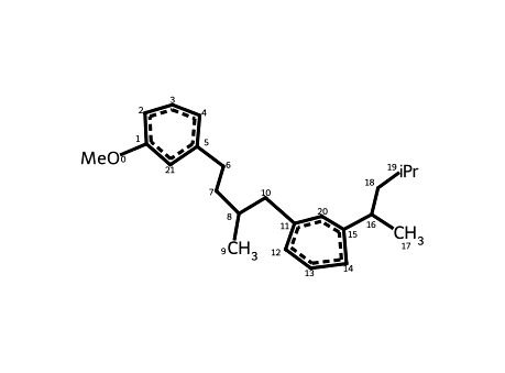 COc1cccc(CCC(C)Cc2cccc(C(C)CC(C)C)c2)c1